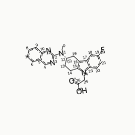 CN(c1ncc2ccccc2n1)[C@H]1CCc2c(c3cc(F)ccc3n2CC(=O)O)C1